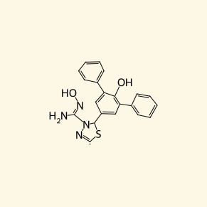 NC(=NO)N1N=[C]SC1c1cc(-c2ccccc2)c(O)c(-c2ccccc2)c1